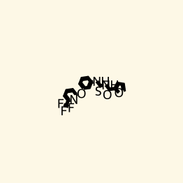 O=C(NC(=S)Nc1cccc(Oc2cccc(C(F)(F)F)n2)c1)c1ccco1